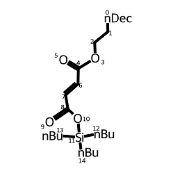 CCCCCCCCCCCCOC(=O)C=CC(=O)O[Si](CCCC)(CCCC)CCCC